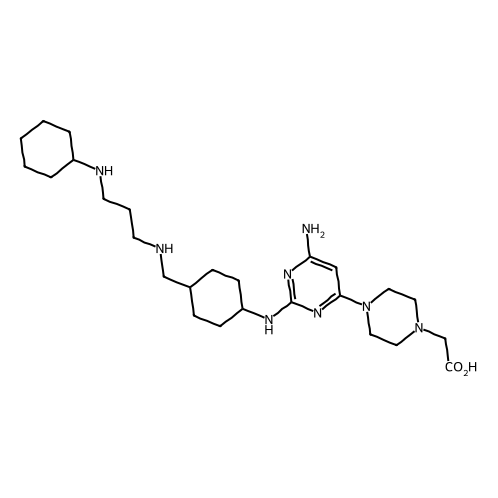 Nc1cc(N2CCN(CC(=O)O)CC2)nc(NC2CCC(CNCCCNC3CCCCC3)CC2)n1